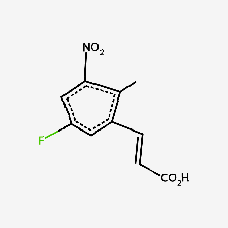 Cc1c(C=CC(=O)O)cc(F)cc1[N+](=O)[O-]